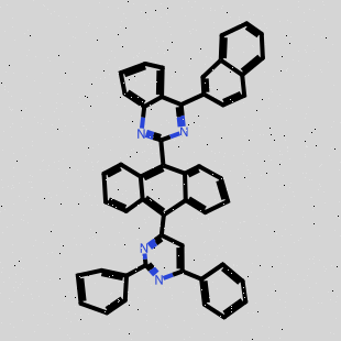 c1ccc(-c2cc(-c3c4ccccc4c(-c4nc(-c5ccc6ccccc6c5)c5ccccc5n4)c4ccccc34)nc(-c3ccccc3)n2)cc1